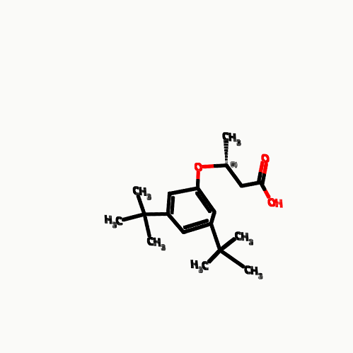 C[C@H](CC(=O)O)Oc1cc(C(C)(C)C)cc(C(C)(C)C)c1